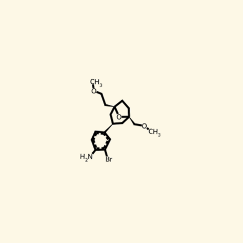 COCC[C@]12CC[C@](COC)(C[C@@H](c3ccc(N)c(Br)c3)C1)O2